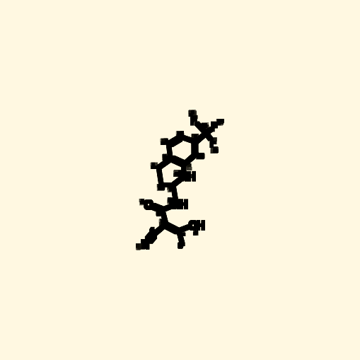 CC(O)=C(C#N)C(=O)NC1CCc2ccc(C(F)(F)F)cc2N1